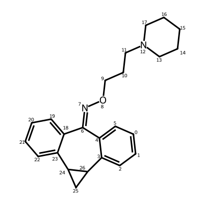 c1ccc2c(c1)C(=NOCCCN1CCCCC1)c1ccccc1C1CC21